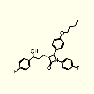 CCCCOc1ccc([C@@H]2[C@@H](CC[C@@H](O)c3ccc(F)cc3)C(=O)N2c2ccc(F)cc2)cc1